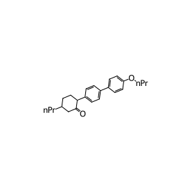 CCCOc1ccc(-c2ccc(C3CCC(CCC)CC3=O)cc2)cc1